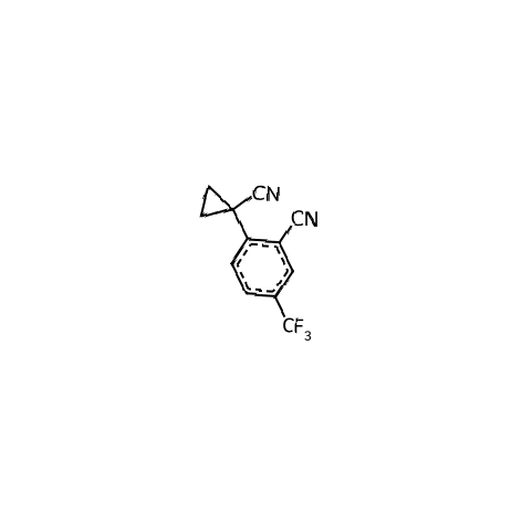 N#Cc1cc(C(F)(F)F)ccc1C1(C#N)CC1